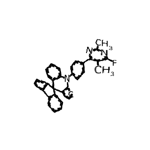 Cc1nc(F)c(C)c(-c2ccc(N3c4ccccc4C4(c5ccccc5-c5ccccc54)c4ccccc43)cc2)n1